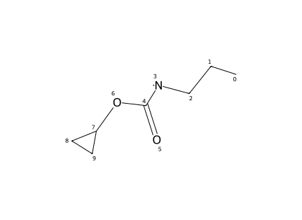 CCC[N]C(=O)OC1CC1